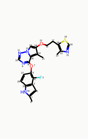 Cc1cc2c(F)c(Oc3ncnn4cc(OCCc5scnc5C)c(C)c34)ccc2[nH]1